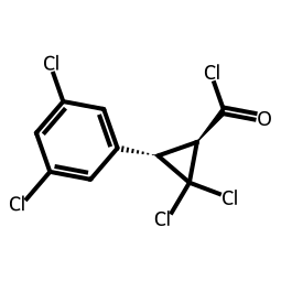 O=C(Cl)[C@@H]1[C@@H](c2cc(Cl)cc(Cl)c2)C1(Cl)Cl